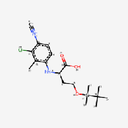 [C-]#[N+]c1ccc(N[C@H](CCO[Si](C)(C)C(C)(C)C)C(=O)O)c(C)c1Cl